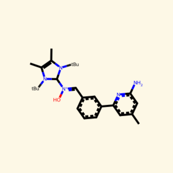 CC1=C(C)N(C(C)(C)C)C(/[N+](O)=C/c2cccc(-c3cc(C)cc(N)n3)c2)N1C(C)(C)C